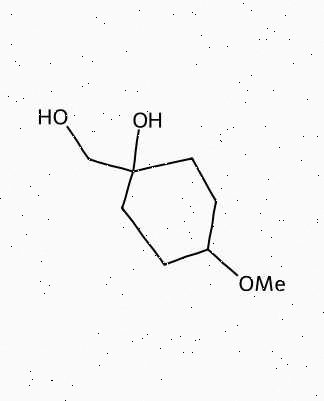 COC1CCC(O)(CO)CC1